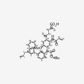 C=CCn1cc(-c2ccnc(N(C(=O)OC(C)(C)C)c3cc(NC(=O)C=C)c(N(C)CCN(C)C(=O)O)cc3OC)n2)c2ccccc21